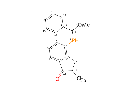 COC(Pc1cccc2c1CC(C)C2=O)c1ccccc1